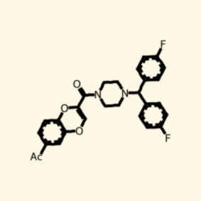 CC(=O)c1ccc2c(c1)OC=C(C(=O)N1CCN(C(c3ccc(F)cc3)c3ccc(F)cc3)CC1)O2